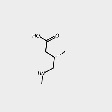 CNC[C@@H](C)CC(=O)O